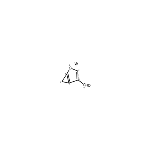 O=Cc1coc2c1C2.[W]